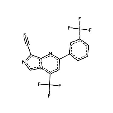 N#Cc1ncn2c(C(F)(F)F)cc(-c3cccc(C(F)(F)F)c3)nc12